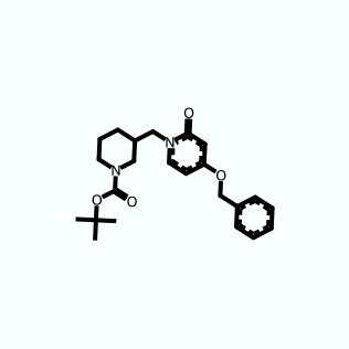 CC(C)(C)OC(=O)N1CCCC(Cn2ccc(OCc3ccccc3)cc2=O)C1